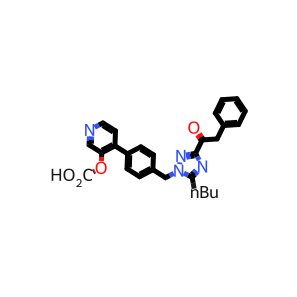 CCCCc1nc(C(=O)Cc2ccccc2)nn1Cc1ccc(-c2ccncc2OC(=O)O)cc1